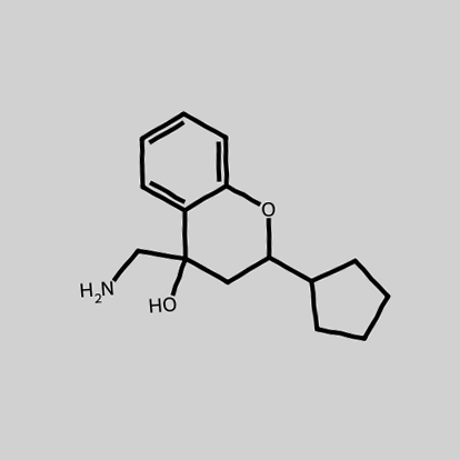 NCC1(O)CC(C2CCCC2)Oc2ccccc21